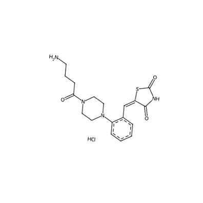 Cl.NCCCC(=O)N1CCN(c2ccccc2C=C2SC(=O)NC2=O)CC1